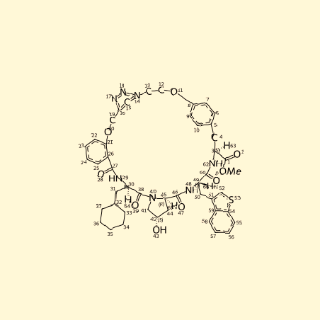 COC(=O)[C@@H]1Cc2ccc(cc2)OCCn2cc(nn2)COc2ccccc2C(=O)N[C@H](CC2CCCCC2)C(=O)N2C[C@@H](O)C[C@@H]2C(=O)N[C@@H](Cc2csc3ccccc23)C(=O)N1